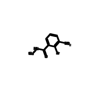 CC(C)(C)NC(=O)c1cccc([N+](=O)[O-])c1Br